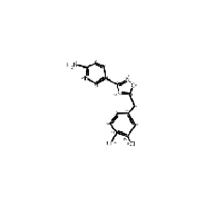 Nc1ccc(-c2noc(Cc3ccc(Cl)c(Cl)c3)n2)cn1